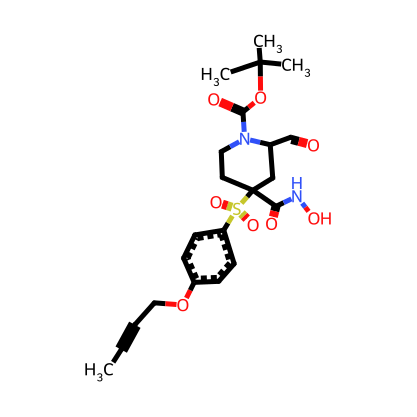 CC#CCOc1ccc(S(=O)(=O)C2(C(=O)NO)CCN(C(=O)OC(C)(C)C)C(C=O)C2)cc1